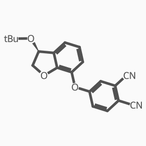 CC(C)(C)O[C@@H]1COc2c(Oc3ccc(C#N)c(C#N)c3)cccc21